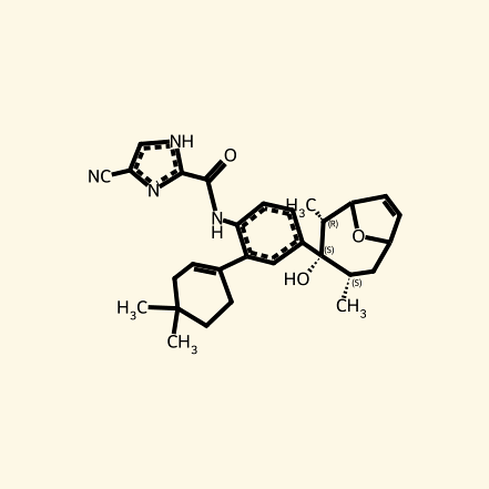 C[C@@H]1C2C=CC(C[C@H](C)[C@@]1(O)c1ccc(NC(=O)c3nc(C#N)c[nH]3)c(C3=CCC(C)(C)CC3)c1)O2